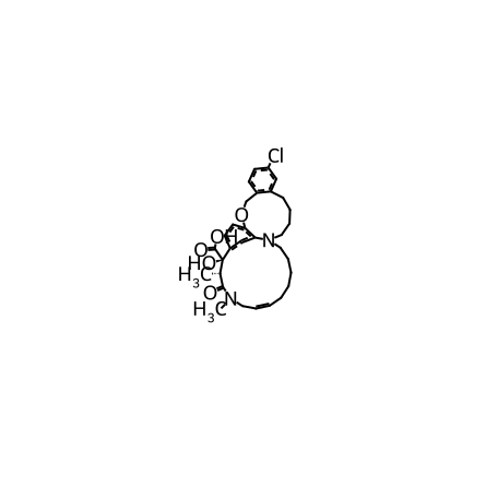 C[C@H]1C(=O)N(C)C/C=C\CCCCCN2CCCCc3cc(Cl)ccc3COc3ccc(cc32)[C@@]1(O)C(=O)O